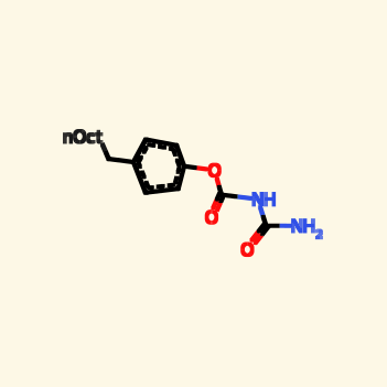 CCCCCCCCCc1ccc(OC(=O)NC(N)=O)cc1